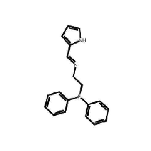 C(=NCCP(c1ccccc1)c1ccccc1)c1ccc[nH]1